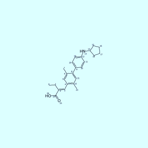 CC/C(=C\c1cc(C)c(-c2ccc(NC3CCCC3)cc2)cc1C)C(=O)O